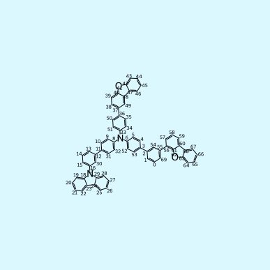 c1cc(-c2ccc(N(c3ccc(-c4cccc(-n5c6ccccc6c6ccccc65)c4)cc3)c3ccc(-c4ccc5oc6ccccc6c5c4)cc3)cc2)cc(-c2cccc3c2oc2ccccc23)c1